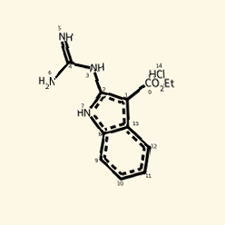 CCOC(=O)c1c(NC(=N)N)[nH]c2ccccc12.Cl